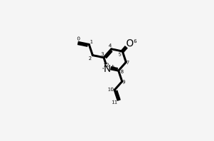 C=CCC1=CC(=O)CC(CC=C)=[N+]1